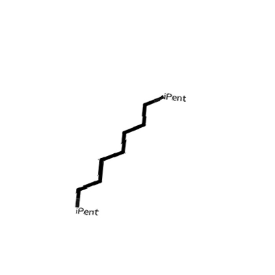 CCCC(C)CC[CH]CCCCC(C)CCC